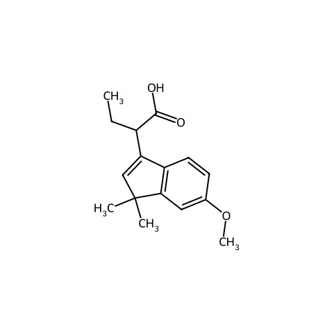 CCC(C(=O)O)C1=CC(C)(C)c2cc(OC)ccc21